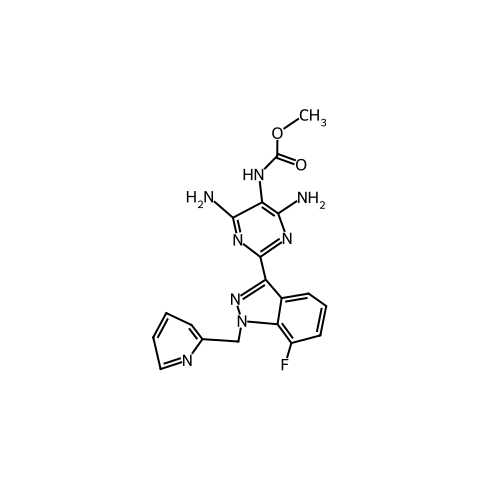 COC(=O)Nc1c(N)nc(-c2nn(Cc3ccccn3)c3c(F)cccc23)nc1N